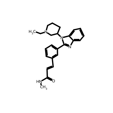 CCN1CCCC(n2c(-c3cccc(/C=C/C(=O)NC)c3)nc3ccccc32)C1